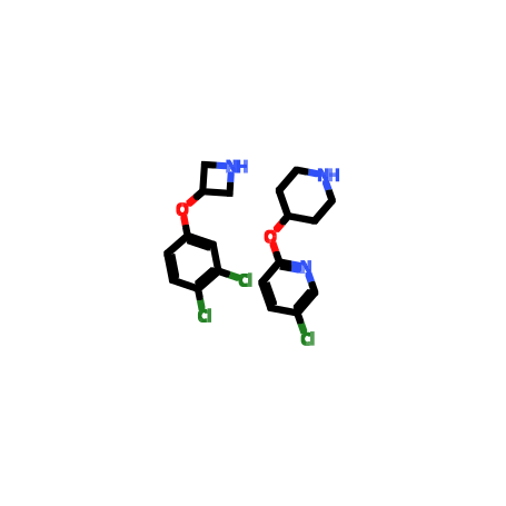 Clc1ccc(OC2CCNCC2)nc1.Clc1ccc(OC2CNC2)cc1Cl